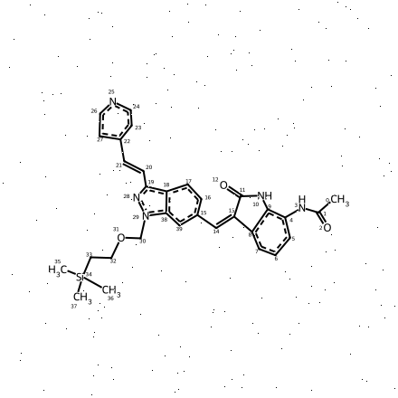 CC(=O)Nc1cccc2c1NC(=O)C2=Cc1ccc2c(C=Cc3ccncc3)nn(COCC[Si](C)(C)C)c2c1